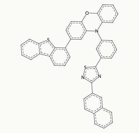 c1cc(-c2nc(-c3ccc4ccccc4c3)ns2)cc(N2c3ccccc3Oc3ccc(-c4cccc5c4sc4ccccc45)cc32)c1